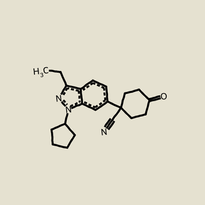 CCc1nn(C2CCCC2)c2cc(C3(C#N)CCC(=O)CC3)ccc12